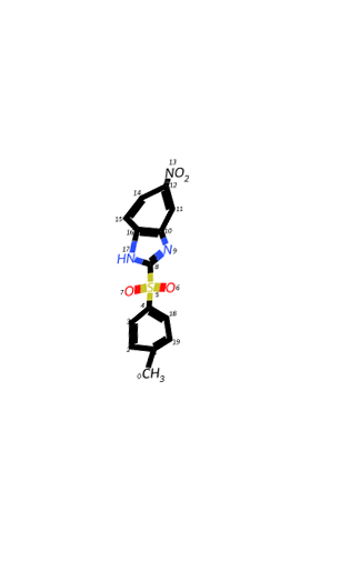 Cc1ccc(S(=O)(=O)c2nc3cc([N+](=O)[O-])ccc3[nH]2)cc1